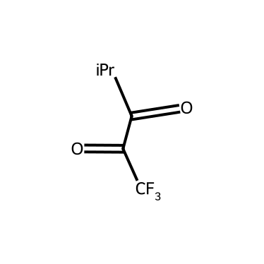 CC(C)C(=O)C(=O)C(F)(F)F